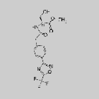 COC(=O)[C@H](CO)NC(=O)Cc1ccc(-c2noc(C(F)(F)F)n2)cc1